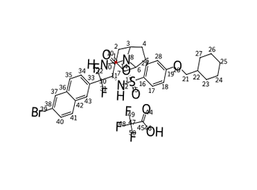 NC1CC2CCC(C1)N2C(=O)[C@H](NS(=O)(=O)c1ccc(OCC2CCCCC2)cc1)C(F)(F)c1ccc2cc(Br)ccc2c1.O=C(O)C(F)(F)F